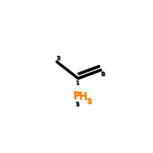 C=CC.P